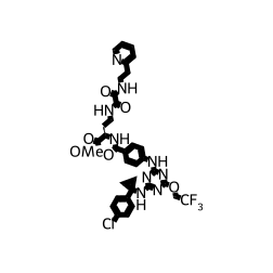 COC(=O)[C@H](CCNC(=O)C(=O)NCCc1ccccn1)NC(=O)c1ccc(Nc2nc(NC3(c4ccc(Cl)cc4)CC3)nc(OCC(F)(F)F)n2)cc1